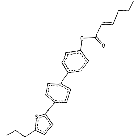 CCCC=CC(=O)Oc1ccc(-c2ccc(-c3ccc(CCC)s3)cc2)cc1